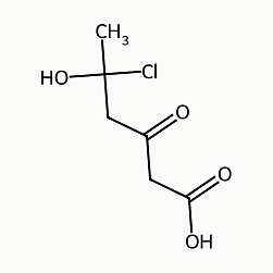 CC(O)(Cl)CC(=O)CC(=O)O